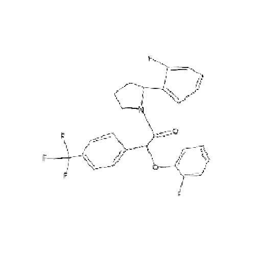 O=C(C(Oc1ccccc1F)c1ccc(C(F)(F)F)cc1)N1CCCC1c1ccccc1F